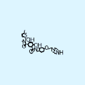 Cc1ccc(CN(C)C(=O)c2cc(C(=O)N3Cc4ccc(OCCN5CCNCC5)cc4C3)c(O)cc2O)s1